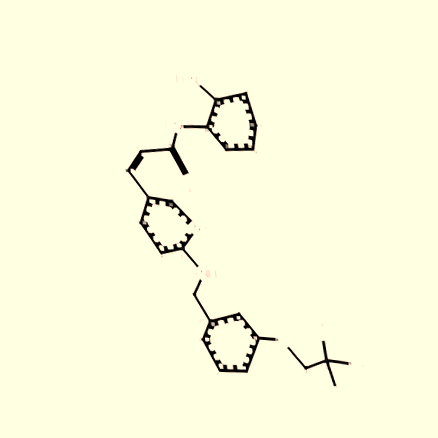 Nc1ccccc1NC(=O)/C=C\c1ccc(NCc2cccc(OCC(F)(F)F)c2)nc1